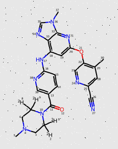 [2H]C1([2H])CN(C)CC([2H])([2H])N1C(=O)c1ccc(Nc2cc(Oc3cnc(C#N)cc3C)nc3c2ncn3C)nc1